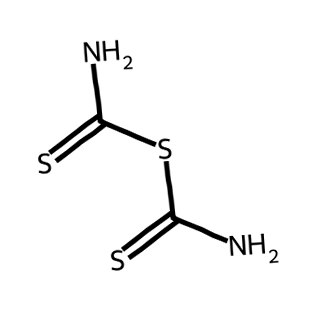 NC(=S)SC(N)=S